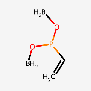 BOP(C=C)OB